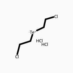 Cl.Cl.ClCC[Te+]CCCl